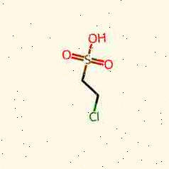 O=S(=O)(O)CCCl